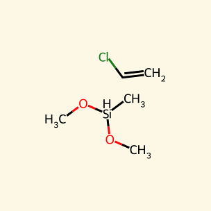 C=CCl.CO[SiH](C)OC